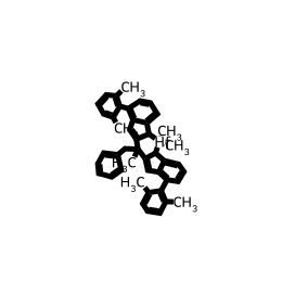 Cc1cccc(C)c1-c1cccc2c1C=C1[CH]2[Hf]([CH3])([CH3])[CH]2C(=Cc3c(-c4c(C)cccc4C)cccc32)C1(C)Cc1ccccc1